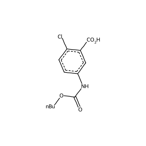 CCCCOC(=O)Nc1ccc(Cl)c(C(=O)O)c1